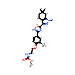 Cn1nc(-c2nc(-c3ccc(OCCNC(=O)OC(C)(C)C)c(C(F)(F)F)c3)no2)c2c1CC(C)(C)CC2